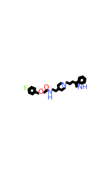 O=C(COCc1ccc(F)cc1)NCCC1CCN(CCCc2c[nH]c3ccccc23)CC1